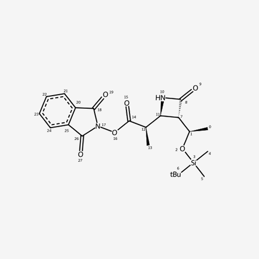 C[C@@H](O[Si](C)(C)C(C)(C)C)[C@H]1C(=O)N[C@@H]1[C@@H](C)C(=O)ON1C(=O)c2ccccc2C1=O